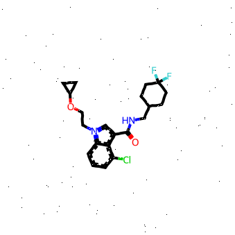 O=C(NCC1CCC(F)(F)CC1)c1cn(CCOC2CC2)c2cccc(Cl)c12